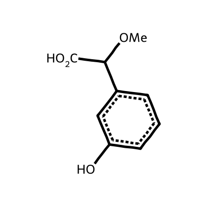 COC(C(=O)O)c1cccc(O)c1